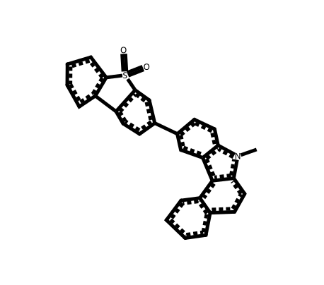 Cn1c2ccc(-c3ccc4c(c3)S(=O)(=O)c3ccccc3-4)cc2c2c3ccccc3ccc21